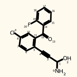 NC(O)C#Cc1ccc(Cl)cc1C(=O)c1ccccc1F